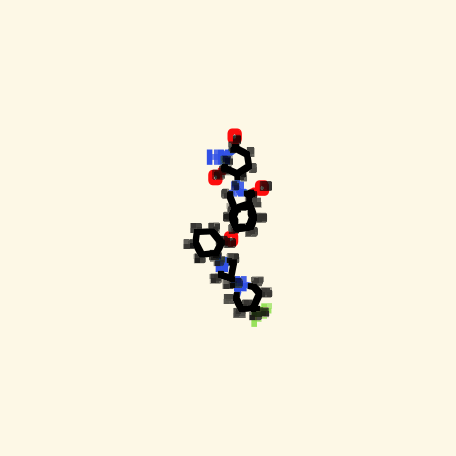 O=C1CCC(N2Cc3cc(O[C@@H]4CCCC[C@H]4N4CC(N5CCC(F)(F)CC5)C4)ccc3C2=O)C(=O)N1